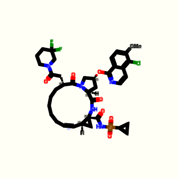 COc1ccc2c(O[C@@H]3C[C@H]4C(=O)N[C@]5(C(=O)NS(=O)(=O)C6CC6)C[C@H]5/C=C\CCCCC[C@H](CC(=O)N5CCCC(F)(F)C5)C(=O)N4C3)nccc2c1Cl